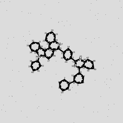 c1ccc(-c2cccc(-c3nc(-c4ccc(-c5nc6ccccc6c6c5ccc5c6c6ccccc6n5-c5ccccc5)cc4)nc4ccccc34)c2)cc1